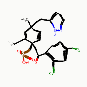 CC1=CC(C)(Cc2ccn[nH]2)C=CC1(C(=O)c1ccc(Cl)cc1Cl)S(=O)(=O)O